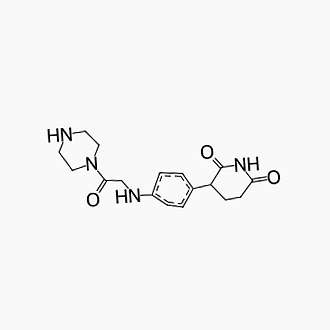 O=C1CCC(c2ccc(NCC(=O)N3CCNCC3)cc2)C(=O)N1